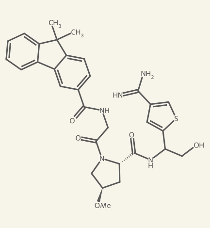 CO[C@@H]1C[C@@H](C(=O)NC(CO)c2cc(C(=N)N)cs2)N(C(=O)CNC(=O)c2ccc3c(c2)-c2ccccc2C3(C)C)C1